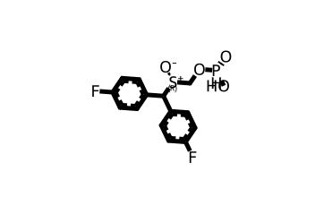 O=[PH](O)OC[S@@+]([O-])C(c1ccc(F)cc1)c1ccc(F)cc1